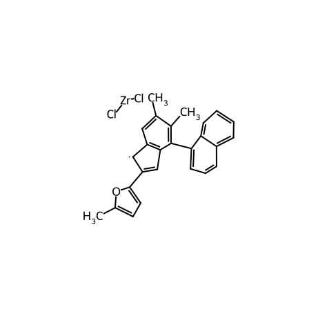 Cc1ccc(C2=Cc3c(cc(C)c(C)c3-c3cccc4ccccc34)[CH]2)o1.[Cl][Zr][Cl]